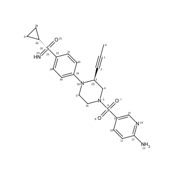 CC#C[C@H]1CN(S(=O)(=O)c2ccc(N)nc2)CCN1c1ccc([S@@](=N)(=O)C2CC2)cc1